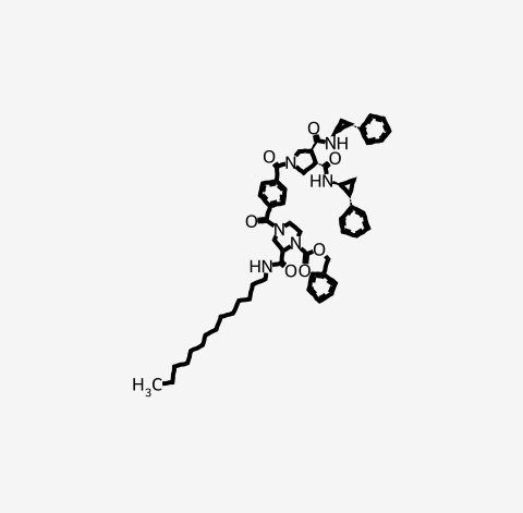 CCCCCCCCCCCCCCNC(=O)C1CN(C(=O)c2ccc(C(=O)N3C[C@@H](C(=O)N[C@H]4C[C@@H]4c4ccccc4)[C@H](C(=O)N[C@H]4C[C@@H]4c4ccccc4)C3)cc2)CCN1C(=O)OCc1ccccc1